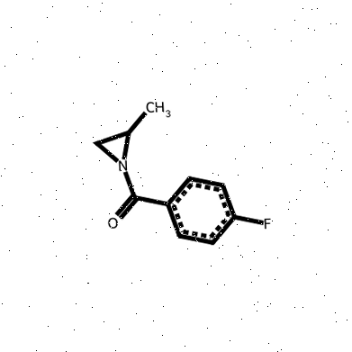 CC1CN1C(=O)c1ccc(F)cc1